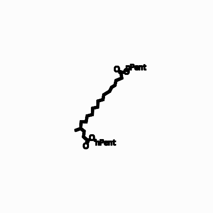 CCCCCOC(=O)CCCCCCCCCCCCCCC(C)CCC(=O)OCCCCC